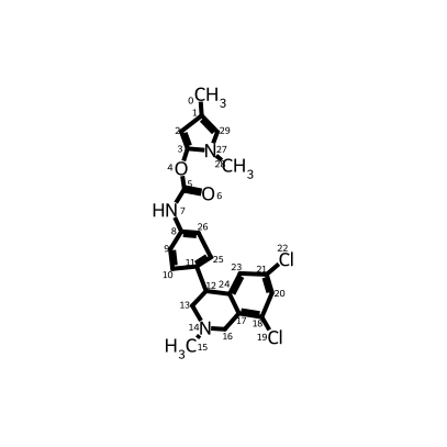 Cc1cc(OC(=O)Nc2ccc(C3CN(C)Cc4c(Cl)cc(Cl)cc43)cc2)n(C)c1